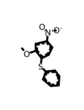 COc1cc([N+](=O)[O-])ccc1Sc1ccccc1